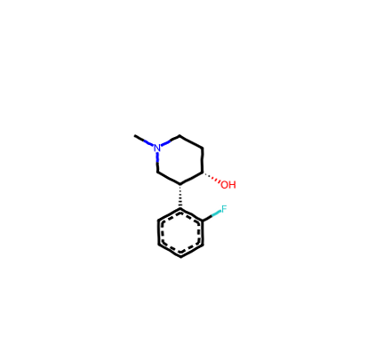 CN1CC[C@H](O)[C@H](c2ccccc2F)C1